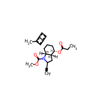 C#CC1C[C@H]2[C@@H](OC(=O)CC)CCC[C@H]2N1C(=O)OC.Cc1cc2ccc1-2